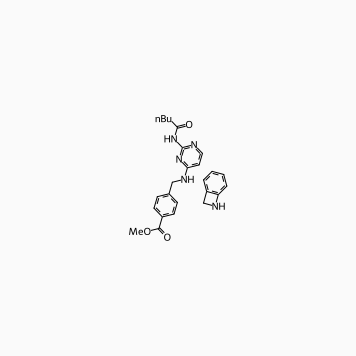 CCCCC(=O)Nc1nccc(NCc2ccc(C(=O)OC)cc2)n1.c1ccc2c(c1)CN2